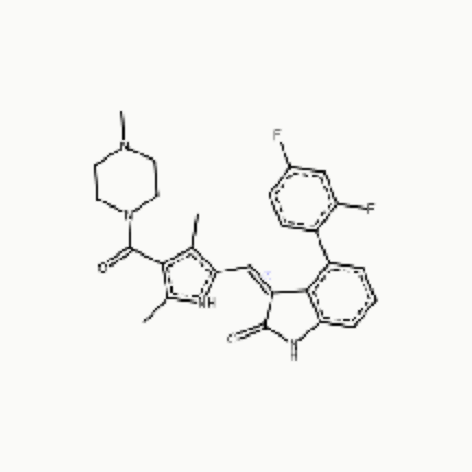 Cc1[nH]c(/C=C2\C(=O)Nc3cccc(-c4ccc(F)cc4F)c32)c(C)c1C(=O)N1CCN(C)CC1